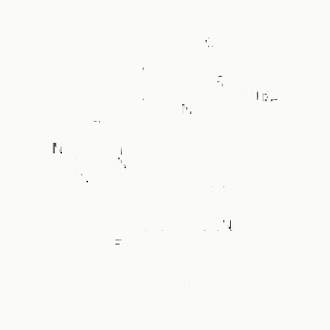 CC(N[S@+]([O-])C(C)(C)C)c1cnnn1-c1ccnc(Cl)c1F